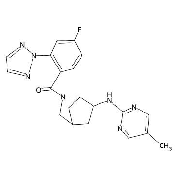 Cc1cnc(NC2CC3CC2N(C(=O)c2ccc(F)cc2-n2nccn2)C3)nc1